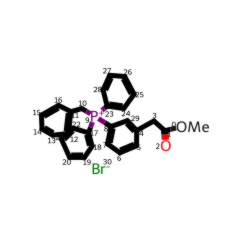 COC(=O)Cc1cccc([P+](Cc2ccccc2)(c2ccccc2)c2ccccc2)c1.[Br-]